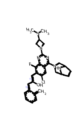 C=c1cccc/c1=C/C(O)=C/c1c(Cl)cc2c(N3CC4CCC(C3)N4)nc(N3CC(N(C)C)C3)nc2c1F